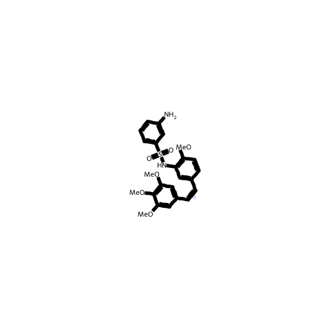 COc1ccc(/C=C\c2cc(OC)c(OC)c(OC)c2)cc1NS(=O)(=O)c1cccc(N)c1